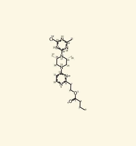 CCCC(=O)OCCc1nccc(N2C[C@@H](C)N(c3nc(C)nc(Cl)n3)[C@@H](C)C2)n1